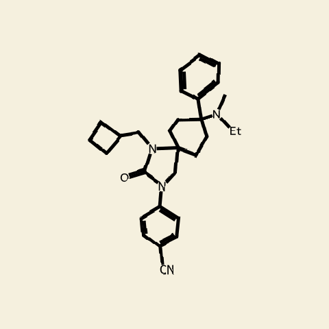 CCN(C)C1(c2ccccc2)CCC2(CC1)CN(c1ccc(C#N)cc1)C(=O)N2CC1CCC1